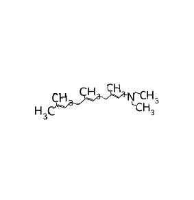 CCN(CC)C/C=C(\C)CC/C=C(\C)CCC=C(C)C